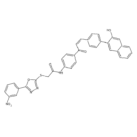 O=C(CSc1nnc(-c2cccc([N+](=O)[O-])c2)o1)Nc1ccc(C(=O)/C=C\c2ccc(-c3cc4ccccc4cc3O)cc2)cc1